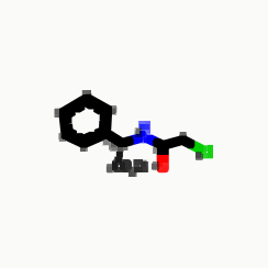 CCOC(=O)[C@@H](NC(=O)CCl)c1ccccc1